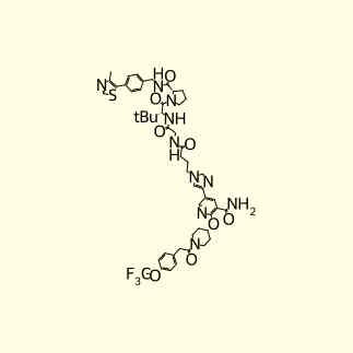 Cc1ncsc1-c1ccc(CNC(=O)[C@H]2CCCN2C(=O)[C@H](NC(=O)CNC(=O)CCCn2cnc(-c3cnc(OC4CCN(C(=O)Cc5ccc(OC(F)(F)F)cc5)CC4)c(C(N)=O)c3)c2)C(C)(C)C)cc1